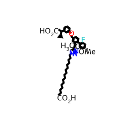 COc1ccc(F)c(-c2ccc(COc3cccc(C(CC(=O)O)C4CC4)c3)cc2C(C)(C)c2cn(CCCCCCCCCCCCCCCCCC(=O)O)nn2)c1